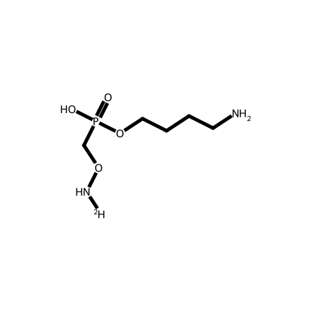 [2H]NOCP(=O)(O)OCCCCN